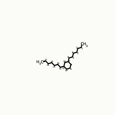 CCCCCCCC1CCCC(CCCCCCC)C1